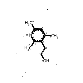 Cc1cc(C)c(CCO)c(C)n1